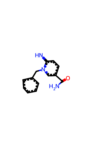 N=c1ccc(C(N)=O)cn1Cc1ccccc1